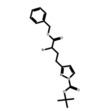 CC(C)(C)OC(=O)n1ccc(CCC(Br)C(=O)OCc2ccccc2)n1